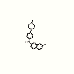 Cc1ccc2cnc(Nc3ccc(N4CCN(C)CC4)cc3)nc2c1